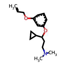 C=CCOc1cccc(OC(CCN(C)C)C2CC2)c1